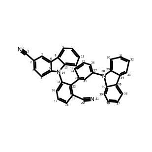 N#Cc1ccc2c(c1)c1ccccc1n2-c1cccc(C#N)c1-c1cccc(-n2c3ccccc3c3ccccc32)c1